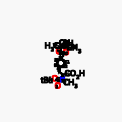 CN(C(=O)OC(C)(C)C)C(Cc1ccc(B2OC(C)(C)C(C)(C)O2)cc1)C(=O)O